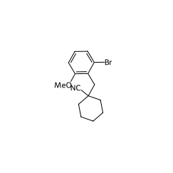 COc1cccc(Br)c1CC1(C#N)CCCCC1